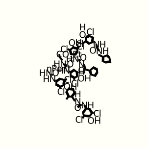 CCCCCNC(=O)Nc1cc(Cl)c(O)c(Cl)c1.CCOC(=O)CCNC(=O)Nc1cc(Cl)c(O)c(Cl)c1.Cc1ccccc1CNC(=O)Nc1cc(Cl)c(O)c(Cl)c1.O=C(NCCc1ccccc1)Nc1cc(Cl)c(O)c(Cl)c1.O=C(NCc1ccccc1)Nc1cc(Cl)c(O)c(Cl)c1